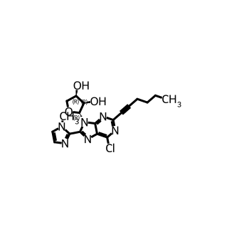 CCCCC#Cc1nc(Cl)c2nc(-c3nccn3C)n([C@@H]3OC[C@@H](O)[C@H]3O)c2n1